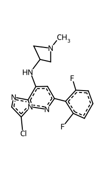 CN1CC(Nc2cc(-c3c(F)cccc3F)nn3c(Cl)cnc23)C1